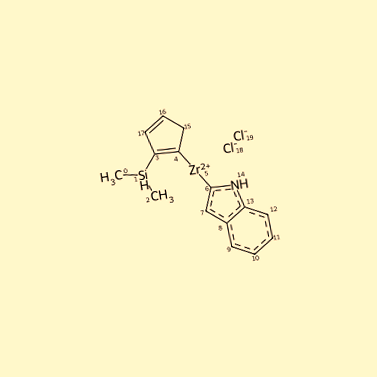 C[SiH](C)C1=[C]([Zr+2][c]2cc3ccccc3[nH]2)CC=C1.[Cl-].[Cl-]